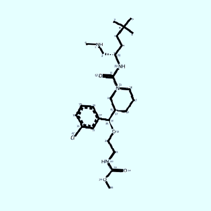 CNC[C@H](CCC(C)(C)C)NC(=O)N1CCC[C@@H]([C@@H](OCCNC(=O)OC)c2cccc(Cl)c2)C1